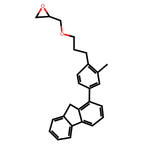 Cc1cc(-c2cccc3c2Cc2ccccc2-3)ccc1CCCOCC1CO1